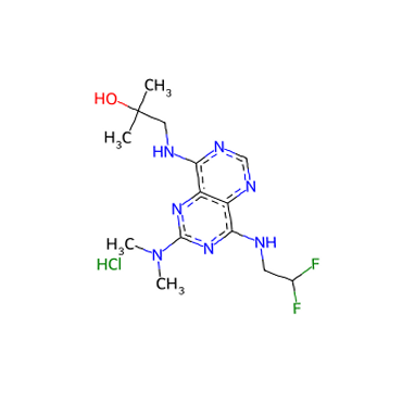 CN(C)c1nc(NCC(F)F)c2ncnc(NCC(C)(C)O)c2n1.Cl